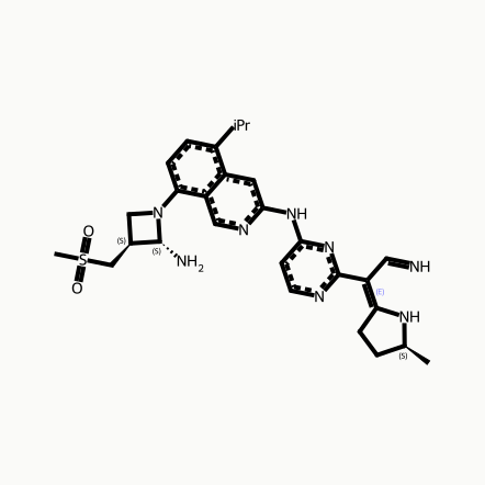 CC(C)c1ccc(N2C[C@H](CS(C)(=O)=O)[C@H]2N)c2cnc(Nc3ccnc(/C(C=N)=C4\CC[C@H](C)N4)n3)cc12